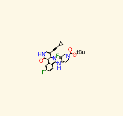 CC(C)(C)OC(=O)N1CC[C@H](Nc2nc3c(C#CC4CC4)c[nH]c(=O)c3c3cc(F)ccc23)[C@@H](F)C1